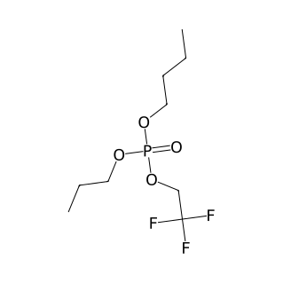 CCCCOP(=O)(OCCC)OCC(F)(F)F